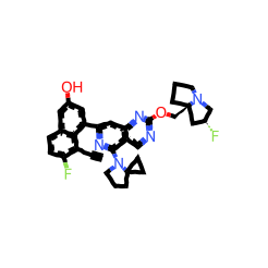 C#Cc1c(F)ccc2cc(O)cc(-c3cc4nc(OC[C@@]56CCCN5C[C@H](F)C6)ncc4c(N4CCCC45CC5)n3)c12